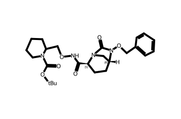 CC(C)(C)OC(=O)N1CCCCC1CONC(=O)[C@@H]1CC[C@@H]2CN1C(=O)N2OCc1ccccc1